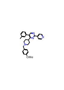 COc1ccc(CN2CCC(c3nc(-c4ccncc4)ncc3-c3cccc(C)c3)CC2)cc1